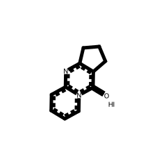 I.O=c1c2c(nc3ccccn13)CCC2